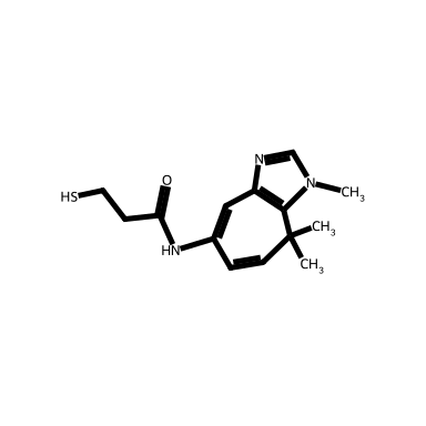 Cn1cnc2c1C(C)(C)C=CC(NC(=O)CCS)=C2